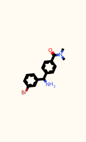 CN(C)C(=O)c1ccc(C(N)c2cccc(Br)c2)cc1